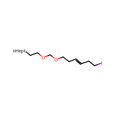 CCCCCCCCCOCOCC/C=C/CCI